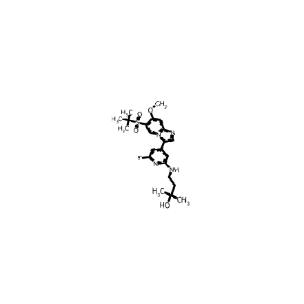 COc1cc2ncc(-c3cc(F)nc(NCCC(C)(C)O)c3)n2cc1S(=O)(=O)C(C)(C)C